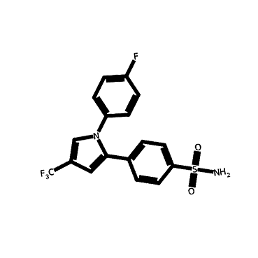 NS(=O)(=O)c1ccc(-c2cc(C(F)(F)F)cn2-c2ccc(F)cc2)cc1